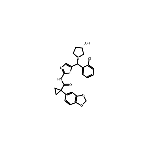 O=C(Nc1ncc([C@H](c2ccccc2Cl)N2CC[C@H](O)C2)s1)C1(c2ccc3c(c2)OCO3)CC1